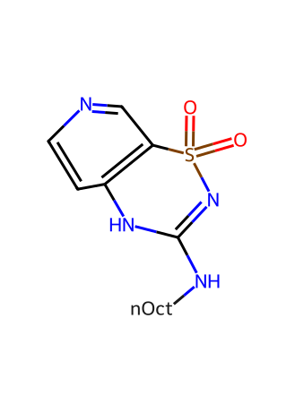 CCCCCCCCNC1=NS(=O)(=O)c2cnccc2N1